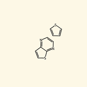 c1ccsc1.c1cnc2sccc2n1